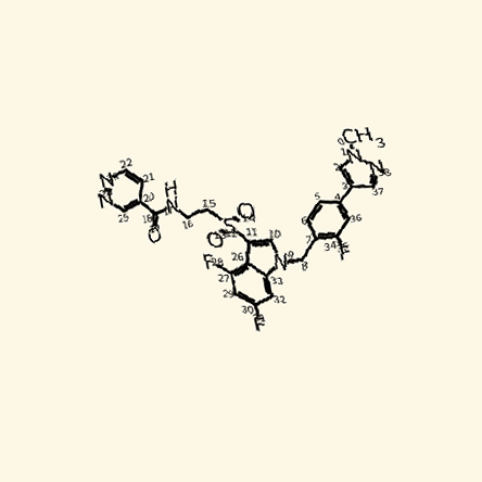 Cn1cc(-c2ccc(Cn3cc(S(=O)(=O)CCNC(=O)c4ccnnc4)c4c(F)cc(F)cc43)c(F)c2)cn1